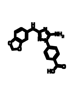 Nc1nc(Nc2ccc3c(c2)OCO3)nn1-c1ccc(C(=O)O)cc1